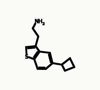 NCCc1csc2ccc(C3CCC3)cc12